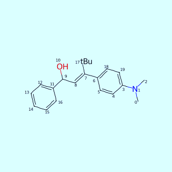 CN(C)c1ccc(C(=CC(O)c2ccccc2)C(C)(C)C)cc1